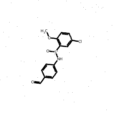 COc1ccc(Cl)cc1[S+]([O-])Nc1ccc(C=O)cc1